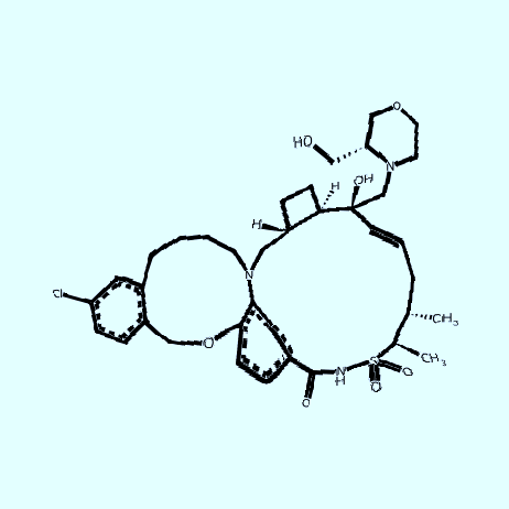 C[C@@H]1[C@@H](C)C/C=C/[C@@](O)(CN2CCOC[C@H]2CO)[C@@H]2CC[C@H]2CN2CCCCc3cc(Cl)ccc3COc3ccc(cc32)C(=O)NS1(=O)=O